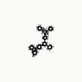 c1ccc(-c2cc(-c3ccc(-c4nc(-c5ccccc5)nc(-c5ccccc5)n4)cc3)cc(-c3ccc(-n4c5ccccc5c5ccccc54)cc3)c2)cc1